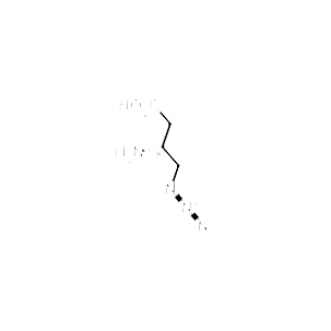 [N-]=[N+]=NC[C@H](N)CC(=O)O